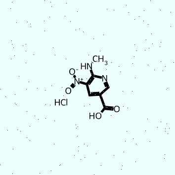 CNc1ncc(C(=O)O)cc1[N+](=O)[O-].Cl